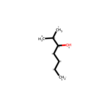 [CH2]CCCC(O)C(C)C